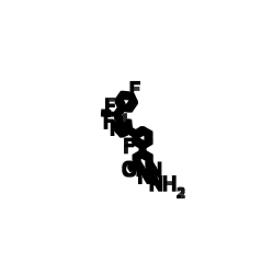 COc1cc(-c2cccc(-c3cnn([C@H](c4ccc(F)cc4)C(C)(F)F)c3)c2F)cc2nc(N)nn12